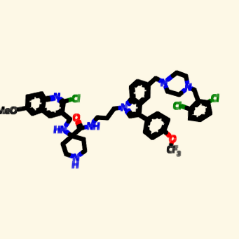 COc1ccc2nc(Cl)c(CNC3(C(=O)NCCCn4cc(-c5ccc(OC(F)(F)F)cc5)c5cc(CN6CCN(Cc7c(Cl)cccc7Cl)CC6)ccc54)CCNCC3)cc2c1